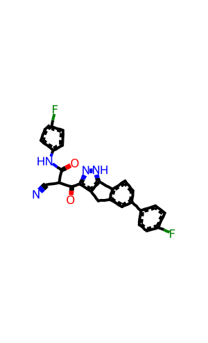 N#CC(C(=O)Nc1ccc(F)cc1)C(=O)c1n[nH]c2c1Cc1cc(-c3ccc(F)cc3)ccc1-2